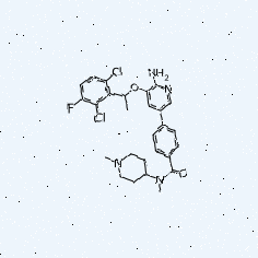 CC(Oc1cc(-c2ccc(C(=O)N(C)C3CCN(C)CC3)cc2)cnc1N)c1c(Cl)ccc(F)c1Cl